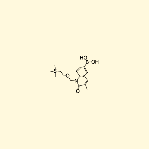 Cc1cc2cc(B(O)O)ccc2n(COCC[Si](C)(C)C)c1=O